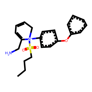 CCCCS(=O)(=O)[N+]1(c2ccc(Oc3ccccc3)cc2)CC=CC=C1CN